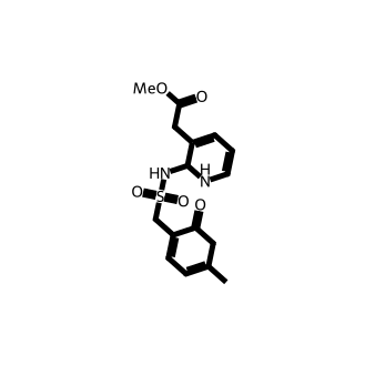 COC(=O)CC1=CC=CNC1NS(=O)(=O)CC1=CC=C(C)CC1=O